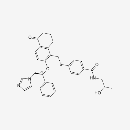 CC(O)CNC(=O)c1ccc(SCc2c(O[C@H](Cn3ccnc3)c3ccccc3)ccc3c2CCCC3=O)cc1